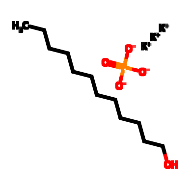 CCCCCCCCCCCCO.O=P([O-])([O-])[O-].[K+].[K+].[K+]